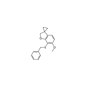 COc1ccc2c(c1SCc1ccccc1)OCC21CC1